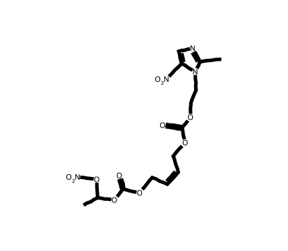 Cc1ncc([N+](=O)[O-])n1CCOC(=O)OC/C=C\COC(=O)OC(C)O[N+](=O)[O-]